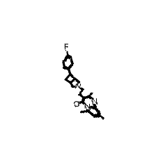 Cc1cc(C)n2c(=O)c(CCN3CC4CC(c5ccc(F)cc5)C4C3)c(C)nc2c1